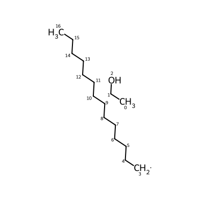 CCO.[CH2]CCCCCCCCCCCCC